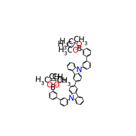 CC1(C)OB(c2cccc(-c3cccc(-n4c5ccccc5c5cc(-c6ccc7c(c6)c6ccccc6n7-c6cccc(-c7cccc(B8OC(C)(C)C(C)(C)O8)c7)c6)ccc54)c3)c2)OC1(C)C